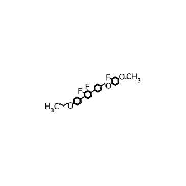 CCCCOc1ccc(-c2ccc(-c3ccc(COc4ccc(OCC)cc4F)cc3)c(F)c2F)cc1